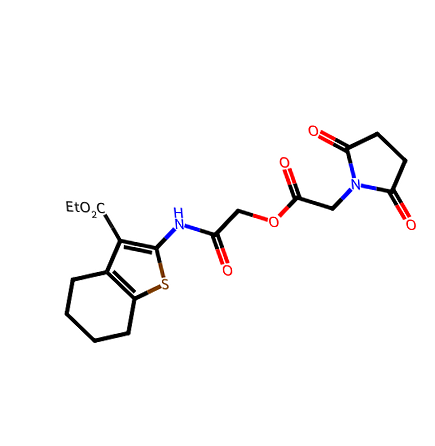 CCOC(=O)c1c(NC(=O)COC(=O)CN2C(=O)CCC2=O)sc2c1CCCC2